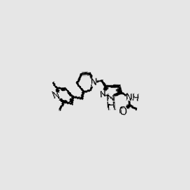 CC(=O)Nc1cc(CN2CCCC(Cc3cc(C)nc(C)c3)C2)n[nH]1